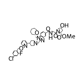 COC(=O)[C@@H]1C[C@@H](O)CN1C(=O)CNC(=O)c1ccc2c(c1)nc(CN1CCC(c3cccc(OCc4ccc(Cl)cc4F)n3)CC1)n2C[C@@H]1CCCCCO1